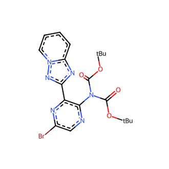 CC(C)(C)OC(=O)N(C(=O)OC(C)(C)C)c1ncc(Br)nc1-c1nc2ccccn2n1